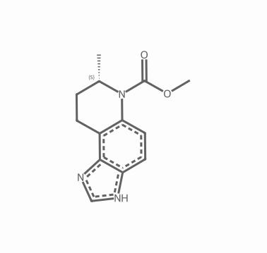 COC(=O)N1c2ccc3[nH]cnc3c2CC[C@@H]1C